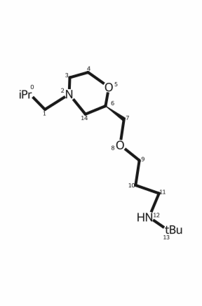 CC(C)CN1CCO[C@@H](COCCCNC(C)(C)C)C1